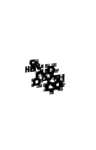 O=CN(O)C[C@H](CC1CCCC1)C(=O)N1CCC[C@H]1C1=Cc2cccc3cccc(c23)N1